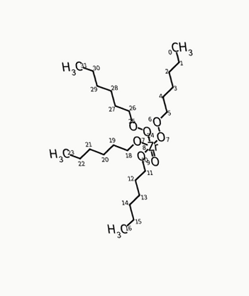 CCCCCCO[O][Zr](=[O])([O]CCCCCC)([O]CCCCCC)[O]OCCCCCC